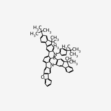 CC(C)(C)c1ccc(N2B3c4cc5c(cc4-n4c6cc7c(cc6c6ccc(c3c64)-c3cc4c(cc32)C(C)(C)c2cc(C(C)(C)C)ccc2-4)oc2ccccc27)-c2ccccc2C5(C)C)cc1